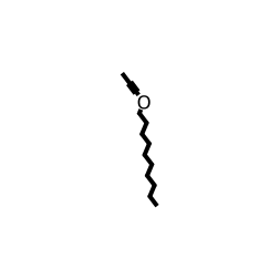 CC#COCCCCCCCCCC